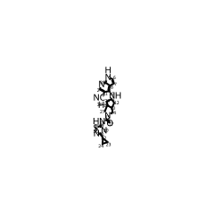 N#Cc1cnc2[nH]ccc2c1N[C@@H]1CC2CN(C(=O)Nc3nc(C4CC4)ns3)C[C@H]2C1